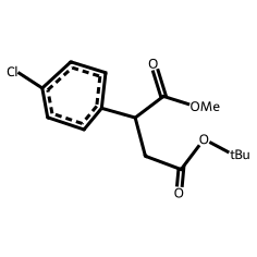 COC(=O)C(CC(=O)OC(C)(C)C)c1ccc(Cl)cc1